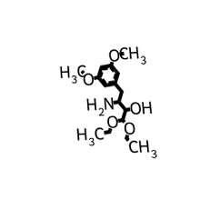 CCOC(OCC)C(O)C(N)Cc1cc(OC)cc(OC)c1